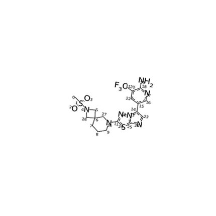 CS(=O)(=O)N1CC2(CCCN(c3nn4c(-c5cnc(N)c(C(F)(F)F)c5)cnc4s3)C2)C1